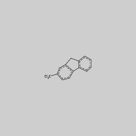 ClC(Cl)(Cl)c1[c]c2c(cc1)-c1ccccc1C2